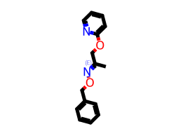 C/C(COc1ccccn1)=N\OCc1ccccc1